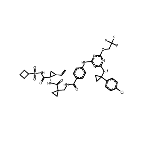 C=C[C@@H]1C[C@]1(NC(=O)C1(CNC(=O)c2ccc(Nc3nc(NC4(c5ccc(Cl)cc5)CC4)nc(OCC(F)(F)F)n3)cc2)CC1)C(=O)NS(=O)(=O)C1CCC1